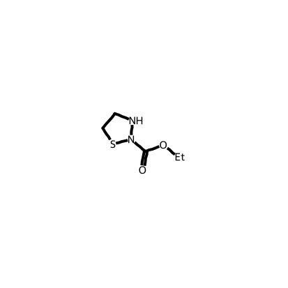 CCOC(=O)N1NCCS1